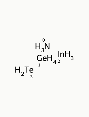 N.[GeH4].[InH3].[TeH2]